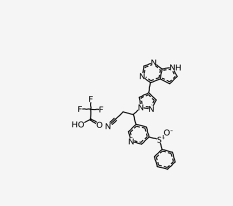 N#CCC(c1cncc([S+]([O-])c2ccccc2)c1)n1cc(-c2ncnc3[nH]ccc23)cn1.O=C(O)C(F)(F)F